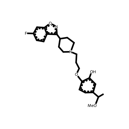 COC(C)c1ccc(OCCCN2CCC(c3noc4cc(F)ccc34)CC2)c(O)c1